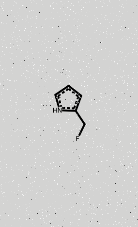 FCc1ccc[nH]1